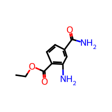 CCOC(=O)c1ccc(C(N)=O)cc1N